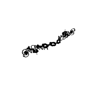 COC(=O)N[C@H](C(=O)N1C[C@@H](C)C[C@H]1c1ncc(-c2ccc(-c3ccc(-c4ccc5oc([C@@H]6C[C@H](C)CN6C(=O)[C@@H](NC(=O)OC)C(C)C)nc5c4)cc3)cc2)[nH]1)C(C)C